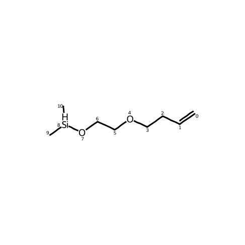 C=CCCOCCO[SiH](C)C